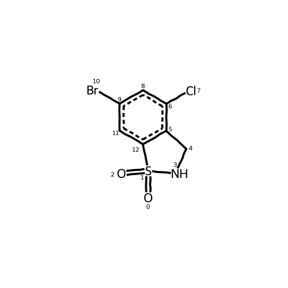 O=S1(=O)NCc2c(Cl)cc(Br)cc21